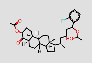 CC(=O)O[C@H]1CC[C@@]2(C)[C@@H](CC[C@@H]3[C@@H]2CC[C@]2(C)[C@@H]([C@H](C)CCCC(OC(C)O)c4ccccc4F)CC[C@@H]32)C1=O